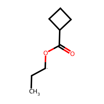 CC[CH]OC(=O)C1CCC1